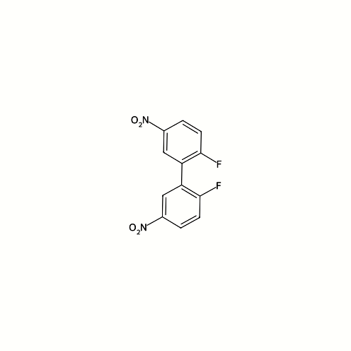 O=[N+]([O-])c1ccc(F)c(-c2cc([N+](=O)[O-])ccc2F)c1